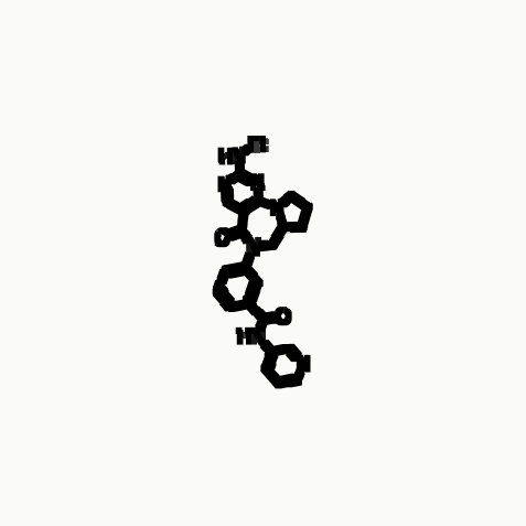 CCNc1ncc2c(n1)N1CCCC1CN(c1cccc(C(=O)Nc3cccnc3)c1)C2=O